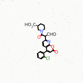 O=CC(C(=O)N1CCC[C@H](C(=O)O)C1)c1ccc2c(-c3ccccc3Cl)cc(=O)oc2n1